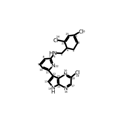 ClC1=CCC(CNc2cccc(-c3c[nH]c4ncc(Cl)nc34)n2)C(Cl)=C1